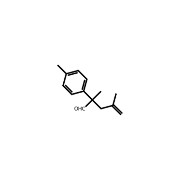 C=C(C)CC(C)(C=O)c1ccc(C)cc1